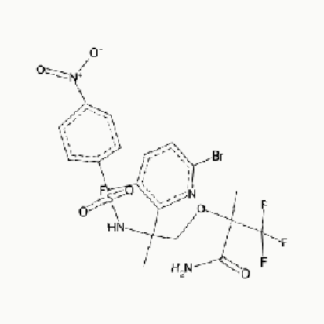 CC(COC(C)(C(N)=O)C(F)(F)F)(NS(=O)(=O)c1ccc([N+](=O)[O-])cc1)c1nc(Br)ccc1F